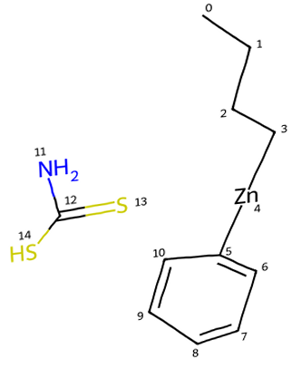 CCC[CH2][Zn][c]1ccccc1.NC(=S)S